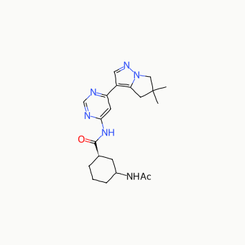 CC(=O)NC1CCC[C@@H](C(=O)Nc2cc(-c3cnn4c3CC(C)(C)C4)ncn2)C1